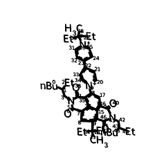 CCCCC(CC)CN1C(=O)c2cc(C(C)(CC)CC)c3c4c(cc(-[n+]5ccc(-c6cc[n+](C(C)(CC)CC)cc6)cc5)c(c24)C1=O)C(=O)N(CC(CC)CCCC)C3=O